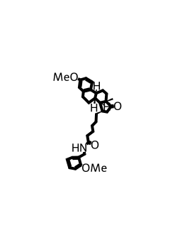 COc1ccc2c(c1)CC[C@H]1[C@@H]3[C@H](CCCCCC(=O)NCc4ccccc4OC)CC(=O)[C@@]3(C)CC[C@H]21